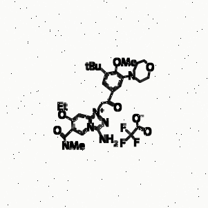 CCOc1cc2n(cc1C(=O)NC)c(N)n[n+]2CC(=O)c1cc(N2CCOCC2)c(OC)c(C(C)(C)C)c1.O=C([O-])C(F)(F)F